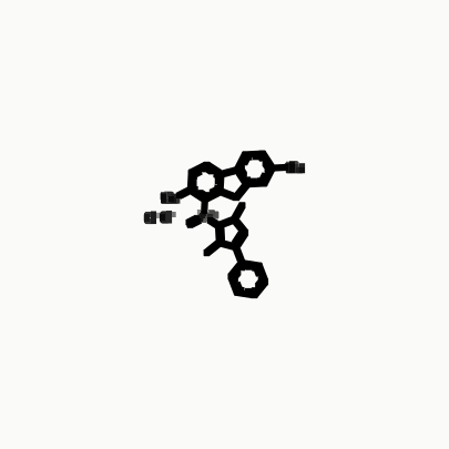 [CH2]=[Zr+2]([C]1=C(C)C(c2ccccc2)=CC1C)[c]1c(C(C)(C)C)ccc2c1Cc1cc(C(C)(C)C)ccc1-2.[Cl-].[Cl-]